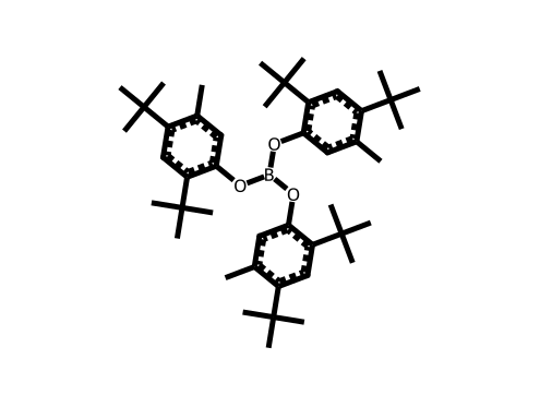 Cc1cc(OB(Oc2cc(C)c(C(C)(C)C)cc2C(C)(C)C)Oc2cc(C)c(C(C)(C)C)cc2C(C)(C)C)c(C(C)(C)C)cc1C(C)(C)C